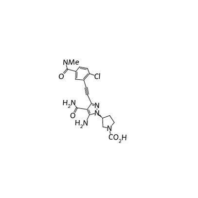 CNC(=O)c1ccc(Cl)c(C#Cc2nn([C@H]3CCN(C(=O)O)C3)c(N)c2C(N)=O)c1